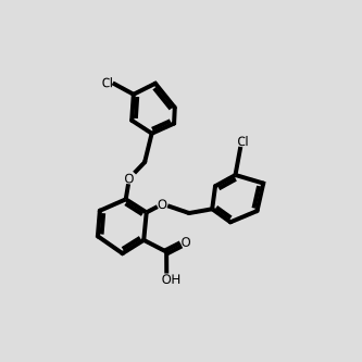 O=C(O)c1cccc(OCc2cccc(Cl)c2)c1OCc1cccc(Cl)c1